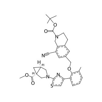 COC(=O)[C@]12C[C@H]1CN(c1nc(-c3cccc(C)c3OCc3cc(C#N)c4c(c3)CCN(C(=O)OC(C)(C)C)C4)cs1)C2